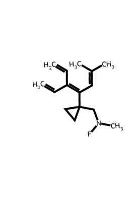 C=CC(C=C)=C(C=C(C)C)C1(CN(C)F)CC1